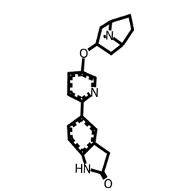 CN1C2CCC1CC(Oc1ccc(-c3ccc4c(c3)CC(=O)N4)nc1)C2